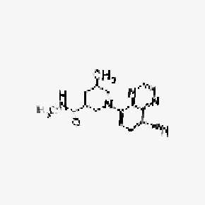 CNC(=O)C1CC(C)CN(c2ccc(C#N)c3nccnc23)C1